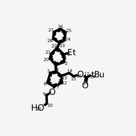 CCc1cc(-c2ccc(OCCO)cc2CCOC(=O)C(C)(C)C)ccc1-c1ccccc1